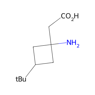 CC(C)(C)C1CC(N)(CC(=O)O)C1